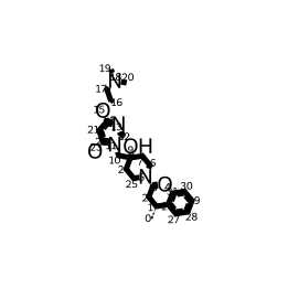 C[C@H](CC(=O)N1CCC(O)(Cn2cnc(OCCN(C)C)cc2=O)CC1)c1ccccc1